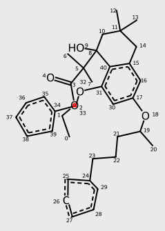 CCOC(=O)C(C)(C)C1(O)CC(C)(C)Cc2cc(OC(C)CCCc3ccccc3)cc(OCc3ccccc3)c21